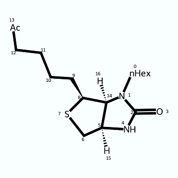 CCCCCCN1C(=O)N[C@H]2CS[C@@H](CCCCC(C)=O)[C@H]21